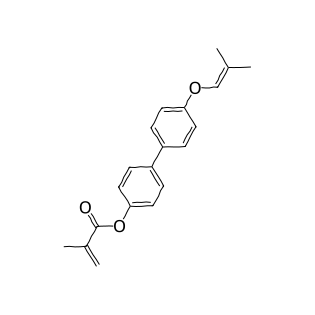 C=C(C)C(=O)Oc1ccc(-c2ccc(OC=C(C)C)cc2)cc1